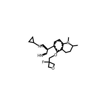 CC1CCc2c(ccc(/C(C=N)=C/NC3CC3)c2OCC2(F)COC2)N1C